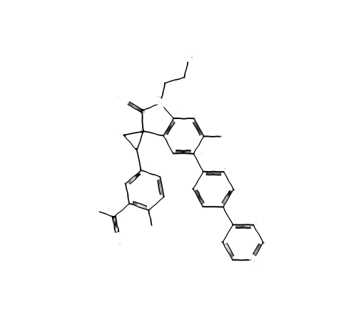 Cc1ccc(C2CC23C(=O)N(CCO)c2cc(Cl)c(-c4ccc(-c5ccncc5)cc4)cc23)cc1C(=O)O